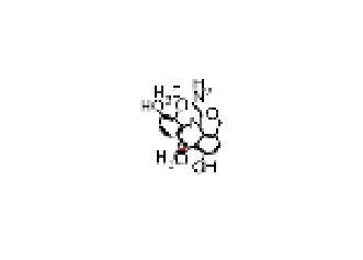 COc1c(O)ccc(C=O)c1N(CCN)c1c(C=O)ccc(O)c1OC